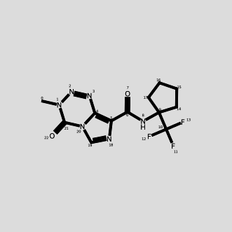 Cn1nnc2c(C(=O)NC3(C(F)(F)F)CCCC3)ncn2c1=O